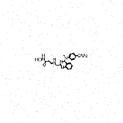 COc1ccc(N(C)c2nc(CNCCC(=O)NO)nc3ccccc23)cc1